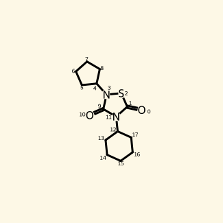 O=c1sn(C2CCCC2)c(=O)n1C1CCCCC1